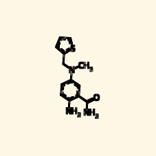 CN(Cc1cccs1)c1ccc(N)c(C(N)=O)c1